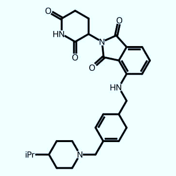 CC(C)C1CCN(CC2=CCC(CNc3cccc4c3C(=O)N(C3CCC(=O)NC3=O)C4=O)C=C2)CC1